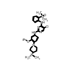 CC(C)Oc1cc(Nc2ncc(Cl)c(Nc3ccccc3P(C)(C)=O)n2)ccc1N1CCC(N(C)C)CC1